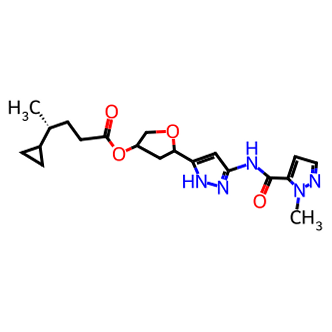 C[C@H](CCC(=O)OC1COC(c2cc(NC(=O)c3ccnn3C)n[nH]2)C1)C1CC1